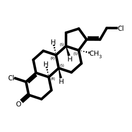 C[C@]12CC[C@H]3[C@@H](CCC4=C(Cl)C(=O)CC[C@@H]43)[C@@H]1CCC2=CCCl